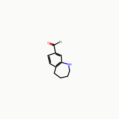 CCC(=O)c1ccc2c(c1)NCCCC2